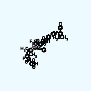 CC1CN(CC[C@H](CSc2ccccc2)Nc2ccc(S(=O)(=O)NC(=O)c3ccc(N4CCN(CC5=C(c6ccc(Cl)cc6)CCC(C)(C)C5)CC4)cc3)cc2S(=O)(=O)C(F)(F)F)CC(C)N1Cc1cc(F)c2c(c1)CN(C1CCC(=O)NC1=O)C2=O